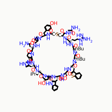 CCCC[C@H]1C(=O)N(C)[C@@H](CCCC)C(=O)N[C@@H](CCCNC(=N)N)C(=O)NC(C(=O)NCC(N)=O)CSCC(=O)NC(Cc2ccc(O)cc2)C(=O)NC2(CC2)C(=O)N[C@@H](CC(N)=O)C(=O)N2CCC[C@H]2C(=O)N[C@@H](Cc2c[nH]cn2)C(=O)N[C@@H](CC(C)C)C(=O)N2C[C@H](O)C[C@H]2C(=O)N[C@@H](Cc2c[nH]c3ccccc23)C(=O)N[C@@H](CO)C(=O)N[C@@H](Cc2csc3ccccc23)C(=O)N1C